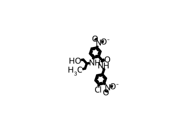 CCC(CO)Nc1ccc([N+](=O)[O-])cc1C(=O)NCc1ccc(Cl)c([N+](=O)[O-])c1